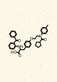 Cc1ccc(N(CCOc2ccc(CC(Nc3ccccc3C(=O)c3ccccc3)C(=O)O)cc2)C(=O)C2CCCC2)cc1